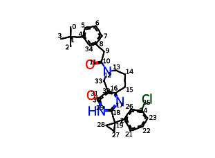 CC(C)(C)c1cccc(CC(=O)N2CCCc3nc(C4(c5cccc(Cl)c5)CC4)[nH]c(=O)c3C2)c1